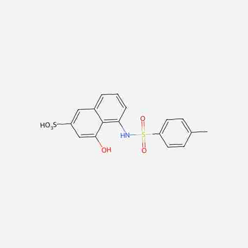 Cc1ccc(S(=O)(=O)Nc2cccc3cc(S(=O)(=O)O)cc(O)c23)cc1